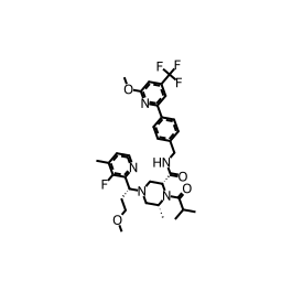 COCC[C@H](c1nccc(C)c1F)N1C[C@@H](C)N(C(=O)C(C)C)[C@@H](C(=O)NCc2ccc(-c3cc(C(F)(F)F)cc(OC)n3)cc2)C1